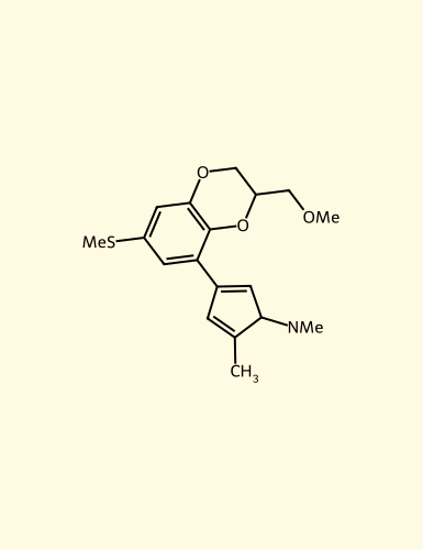 CNC1C=C(c2cc(SC)cc3c2OC(COC)CO3)C=C1C